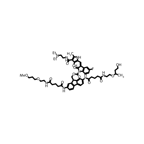 CCN(CC)CCNC(=O)c1c(C)[nH]c(/C=C2\C(=O)N(C(=O)OCC3c4cc(NC(=O)CCCC(=O)NCCOCCCOC)ccc4-c4ccc(NC(=O)CCCC(=O)NCCOC(C)CCO)cc43)c3ccc(F)cc32)c1C